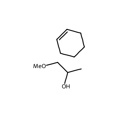 C1=CCCCC1.COCC(C)O